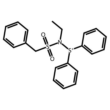 CCN([S+](c1ccccc1)c1ccccc1)S(=O)(=O)Cc1ccccc1